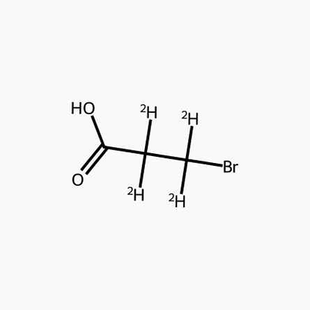 [2H]C([2H])(Br)C([2H])([2H])C(=O)O